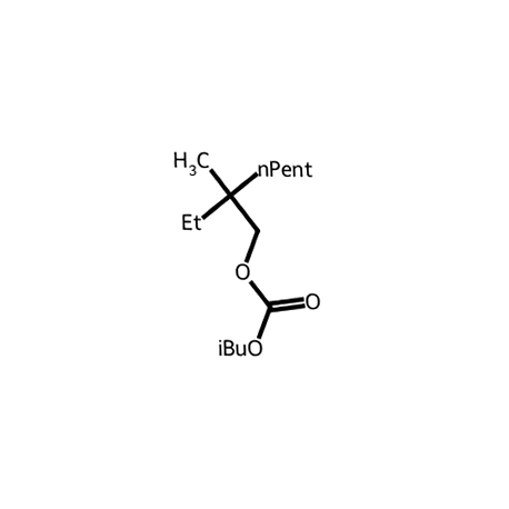 CCCCCC(C)(CC)COC(=O)OCC(C)C